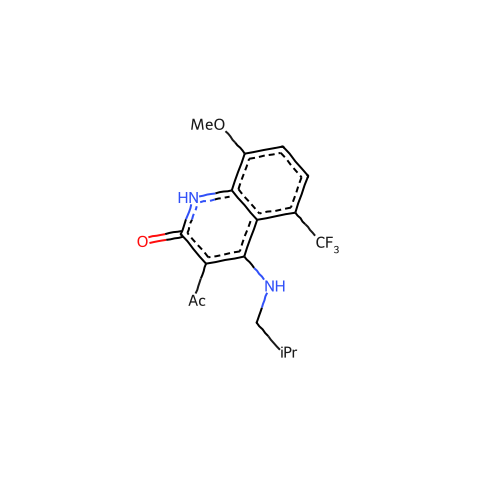 COc1ccc(C(F)(F)F)c2c(NCC(C)C)c(C(C)=O)c(=O)[nH]c12